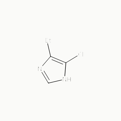 CCc1nc[nH]c1Cl